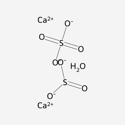 O.O=S(=O)([O-])[O-].O=S([O-])[O-].[Ca+2].[Ca+2]